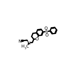 CN(CC#N)CC1CCc2ccc(S(=O)(=O)c3ccccc3)cc2O1